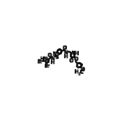 COc1ccc(COc2c[nH]c(CNC(=O)c3ccc4nc(NC(=O)c5cc(Br)c(Br)[nH]5)sc4c3)cc2=O)cc1